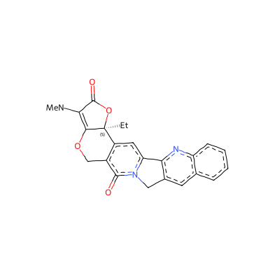 CC[C@@]12OC(=O)C(NC)=C1OCc1c2cc2n(c1=O)Cc1cc3ccccc3nc1-2